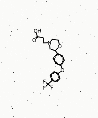 O=C(O)CCN1CCOC(c2ccc(Oc3ccc(C(F)(F)F)cc3)cc2)C1